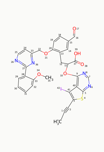 CC#Cc1sc2ncnc(OC(Cc3cc(C=O)ccc3OCc3ccnc(-c4ccccc4OC)n3)C(=O)O)c2c1I